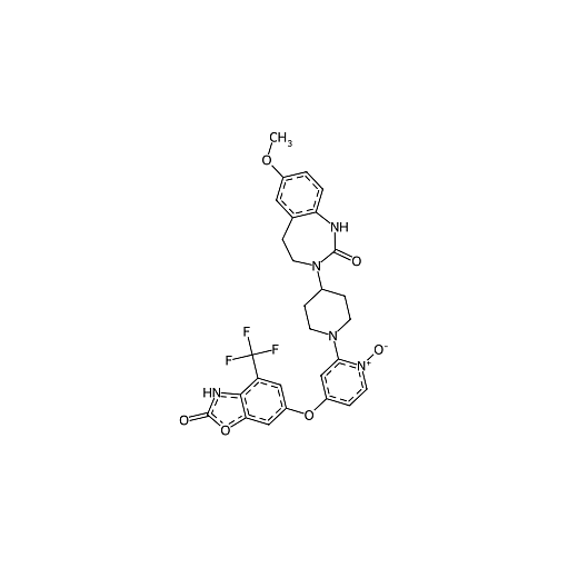 COc1ccc2c(c1)CCN(C1CCN(c3cc(Oc4cc(C(F)(F)F)c5[nH]c(=O)oc5c4)cc[n+]3[O-])CC1)C(=O)N2